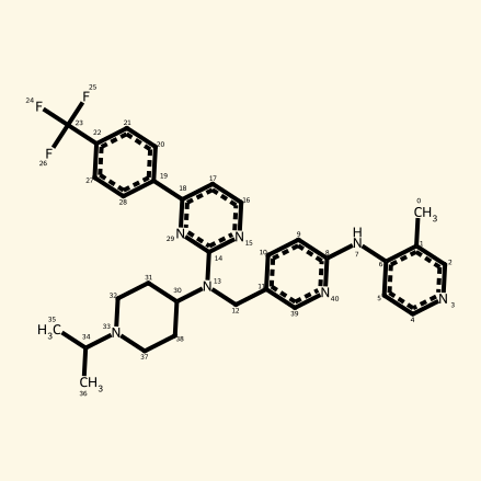 Cc1cnccc1Nc1ccc(CN(c2nccc(-c3ccc(C(F)(F)F)cc3)n2)C2CCN(C(C)C)CC2)cn1